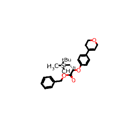 CC(C)(C)[Si](C)(C)C[C@H](Oc1ccc(C2=CCOCC2)cc1)C(=O)OCc1ccccc1